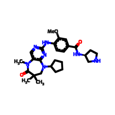 COc1cc(C(=O)N[C@H]2CCNC2)ccc1Nc1ncc2c(n1)N(C1CCCC1)CC(C)(C)C(=O)N2C